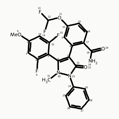 COc1cc(F)c(-c2c(-c3cc(OC(F)F)ccc3C(N)=O)c(=O)n(-c3ccccc3)n2C)c(F)c1